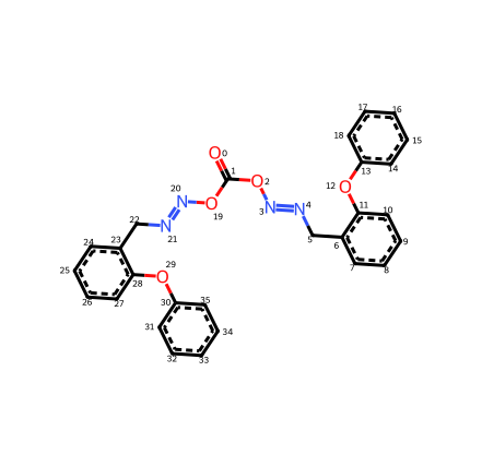 O=C(ON=NCc1ccccc1Oc1ccccc1)ON=NCc1ccccc1Oc1ccccc1